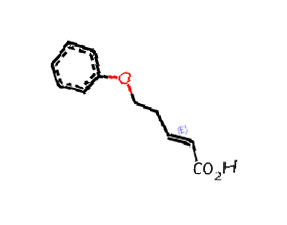 O=C(O)/C=C/CCOc1ccccc1